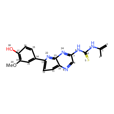 C=C(C)NC(=S)Nc1cnc2ccc(-c3ccc(O)c(OC)c3)nc2n1